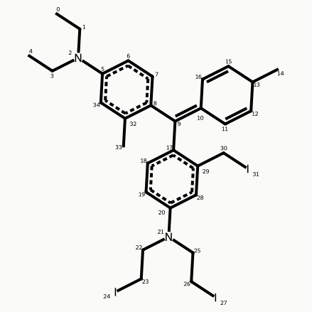 CCN(CC)c1ccc(C(=C2C=CC(C)C=C2)c2ccc(N(CCI)CCI)cc2CI)c(C)c1